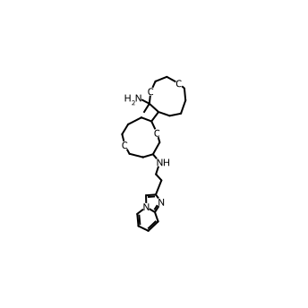 CC1(N)CCCCCCCCC1C1CCCCCCC(NCCc2cn3ccccc3n2)CC1